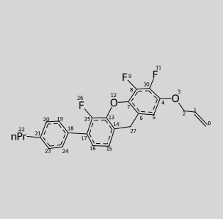 C=CCOc1cc2c(c(F)c1F)Oc1c(ccc(-c3ccc(CCC)cc3)c1F)C2